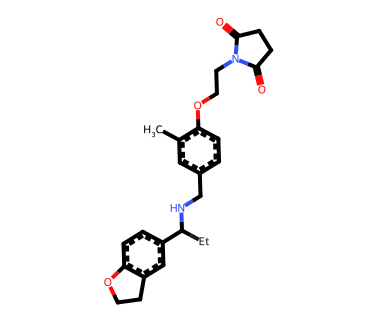 CCC(NCc1ccc(OCCN2C(=O)CCC2=O)c(C)c1)c1ccc2c(c1)CCO2